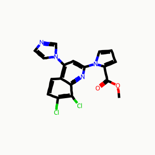 COC(=O)c1cccn1-c1cc(-n2ccnc2)c2ccc(Cl)c(Cl)c2n1